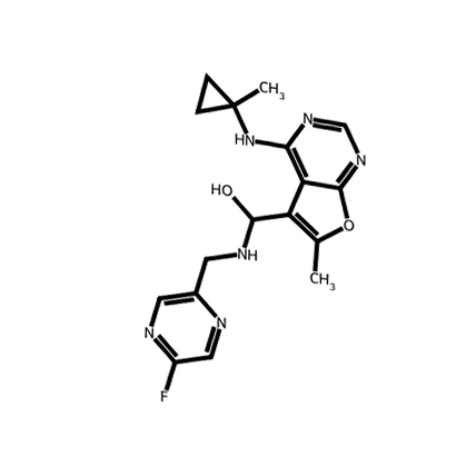 Cc1oc2ncnc(NC3(C)CC3)c2c1C(O)NCc1cnc(F)cn1